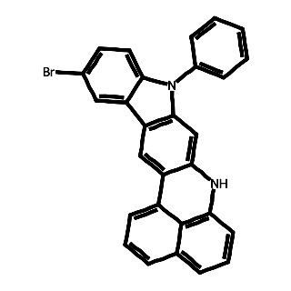 Brc1ccc2c(c1)c1cc3c(cc1n2-c1ccccc1)Nc1cccc2cccc-3c12